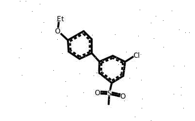 CCOc1ccc(-c2[c]c(S(C)(=O)=O)cc(Cl)c2)cc1